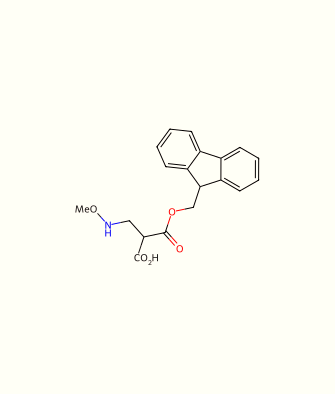 CONCC(C(=O)O)C(=O)OCC1c2ccccc2-c2ccccc21